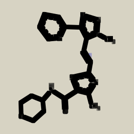 Cc1nc(/C=C/c2c(-c3ccccn3)nnn2C)sc1C(=O)NC1CCOCC1